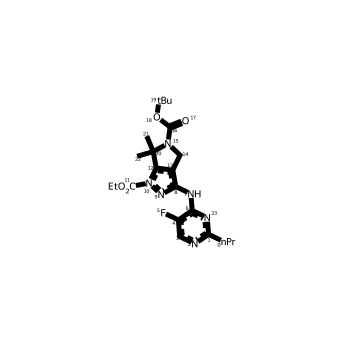 CCCc1ncc(F)c(Nc2nn(C(=O)OCC)c3c2CN(C(=O)OC(C)(C)C)C3(C)C)n1